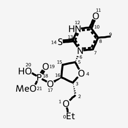 CCOC[C@H]1O[C@@H](n2cc(C)c(=O)[nH]c2=S)C[C@@H]1OP(=O)(O)OC